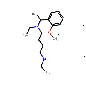 CCNCCCCN(CC)[C@@H](C)c1ccccc1OC